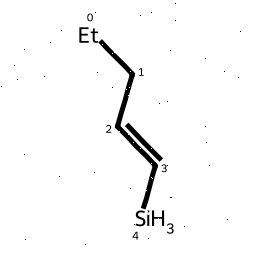 CCCC=C[SiH3]